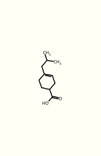 CC(C)CC1=CCC(C(=O)O)CC1